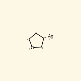 C1CCOC1.[Ag]